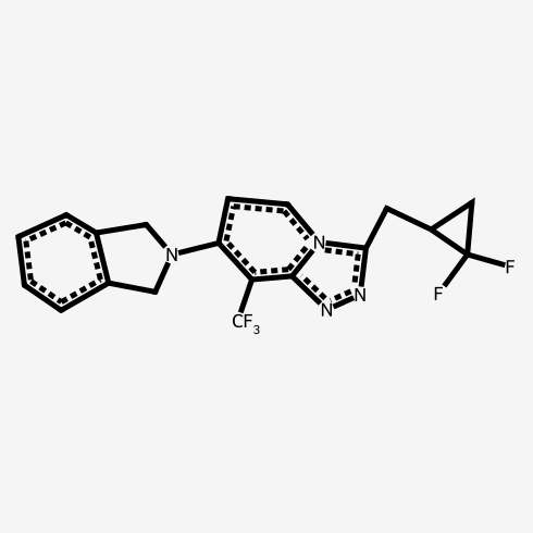 FC(F)(F)c1c(N2Cc3ccccc3C2)ccn2c(CC3CC3(F)F)nnc12